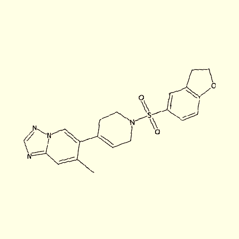 Cc1cc2ncnn2cc1C1=CCN(S(=O)(=O)c2ccc3c(c2)CCO3)CC1